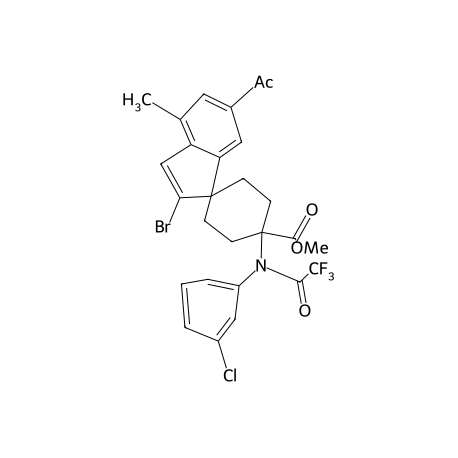 COC(=O)C1(N(C(=O)C(F)(F)F)c2cccc(Cl)c2)CCC2(CC1)C(Br)=Cc1c(C)cc(C(C)=O)cc12